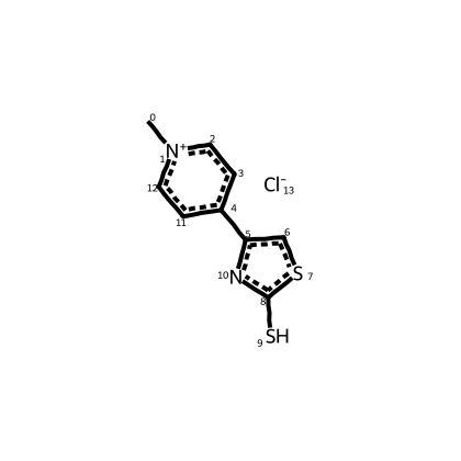 C[n+]1ccc(-c2csc(S)n2)cc1.[Cl-]